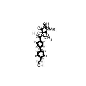 CNC(=O)[C@@](C)(C(=O)NO)N(C)C(=O)c1ccc(-c2ccc(CCO)cc2)cc1